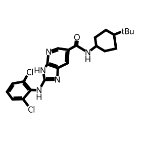 CC(C)(C)C1CCC(NC(=O)c2cnc3[nH]c(Nc4c(Cl)cccc4Cl)nc3c2)CC1